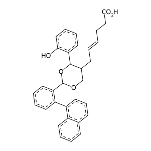 O=C(O)CCC=CCC1COC(c2ccccc2-c2cccc3ccccc23)OC1c1ccccc1O